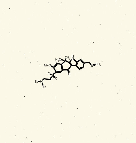 C=NCc1ccc2c3c([nH]c2c1)C(C)(C)c1cc(OC)c(S(=O)(=O)CCN(CC)CC)cc1C3=O